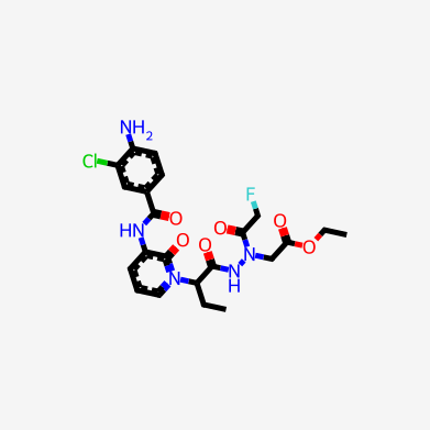 CCOC(=O)CN(NC(=O)C(CC)n1cccc(NC(=O)c2ccc(N)c(Cl)c2)c1=O)C(=O)CF